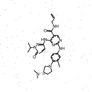 C=CCNC(=O)c1cnc(Nc2ccc(N3CC[C@H](N(C)C)C3)c(C)c2)nc1NC(/C=C\C)=N/N(C=O)C(C)C